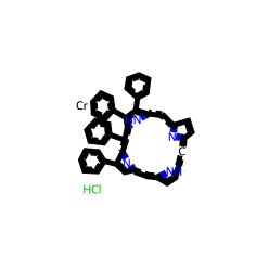 C1=Cc2cc3[nH]c(c(-c4ccccc4)c4nc(cc5ccc(cc1n2)[nH]5)C=C4c1ccccc1)c(-c1ccccc1)c3-c1ccccc1.Cl.[Cr]